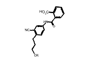 N#Cc1cc(NC(=O)c2ccccc2C(=O)O)ccc1CCCO